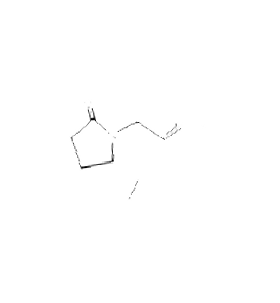 C=CCN1C(=O)CC[C@H]1CO